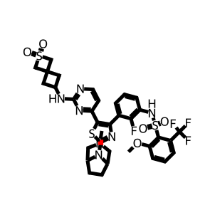 COc1cccc(C(F)(F)F)c1S(=O)(=O)Nc1cccc(-c2nc(N3C4CCC3CN(C)C4)sc2-c2ccnc(NC3CC4(C3)CS(=O)(=O)C4)n2)c1F